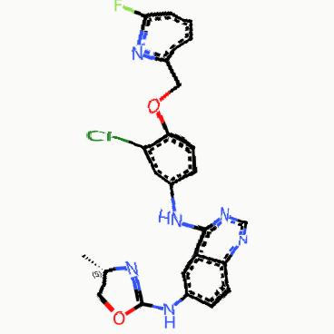 C[C@H]1COC(Nc2ccc3ncnc(Nc4ccc(OCc5cccc(F)n5)c(Cl)c4)c3c2)=N1